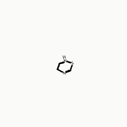 C1=NCCNS1